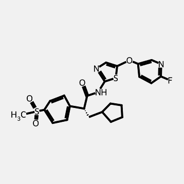 CS(=O)(=O)c1ccc([C@@H](CC2CCCC2)C(=O)Nc2ncc(Oc3ccc(F)nc3)s2)cc1